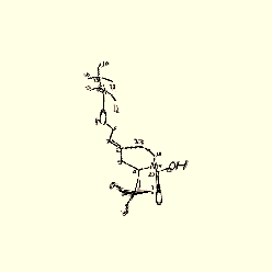 CC(C)(C)C1CC(=CCO[Si](C)(C)C(C)(C)C)CCN1C(=O)O